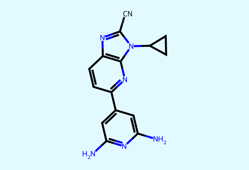 N#Cc1nc2ccc(-c3cc(N)nc(N)c3)nc2n1C1CC1